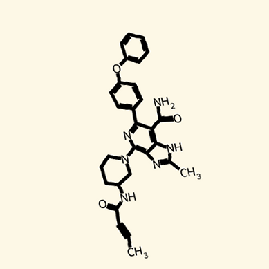 CC#CC(=O)NC1CCCN(c2nc(-c3ccc(Oc4ccccc4)cc3)c(C(N)=O)c3[nH]c(C)nc23)C1